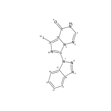 O=c1[nH]cnn2c(-n3nnc4ccccc43)nc(I)c12